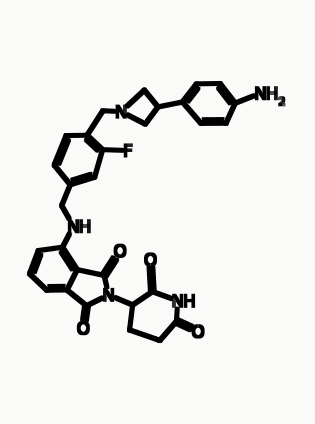 Nc1ccc(C2CN(Cc3ccc(CNc4cccc5c4C(=O)N(C4CCC(=O)NC4=O)C5=O)cc3F)C2)cc1